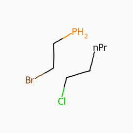 CCCCCCl.PCCBr